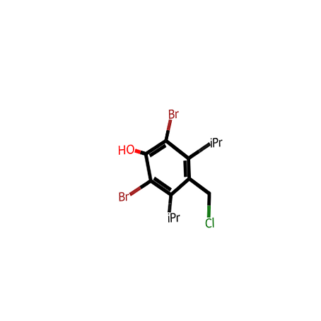 CC(C)c1c(Br)c(O)c(Br)c(C(C)C)c1CCl